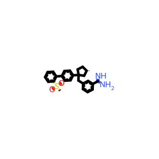 CS(=O)(=O)c1ccccc1-c1ccc(C2(Cc3cccc(C(=N)N)c3)C[CH]CC2)cc1